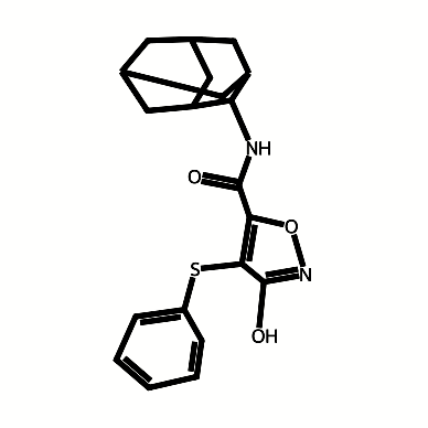 O=C(NC1C2CC3CC(C2)CC1C3)c1onc(O)c1Sc1ccccc1